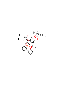 C=C(C)C(=O)Oc1ccc(C(C)(c2ccccc2)P2(=O)Oc3ccccc3-c3ccccc32)c(OC(=O)C(=C)C)c1